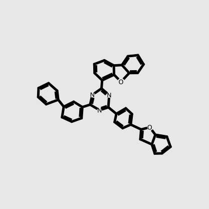 c1ccc(-c2cccc(-c3nc(-c4ccc(-c5cc6ccccc6o5)cc4)nc(-c4cccc5c4oc4ccccc45)n3)c2)cc1